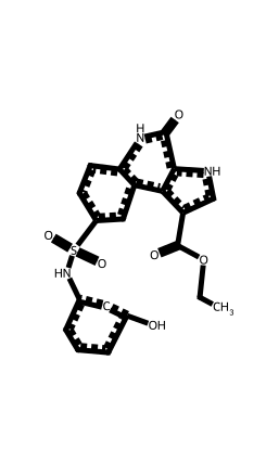 CCOC(=O)c1c[nH]c2c(=O)[nH]c3ccc(S(=O)(=O)Nc4cccc(O)c4)cc3c12